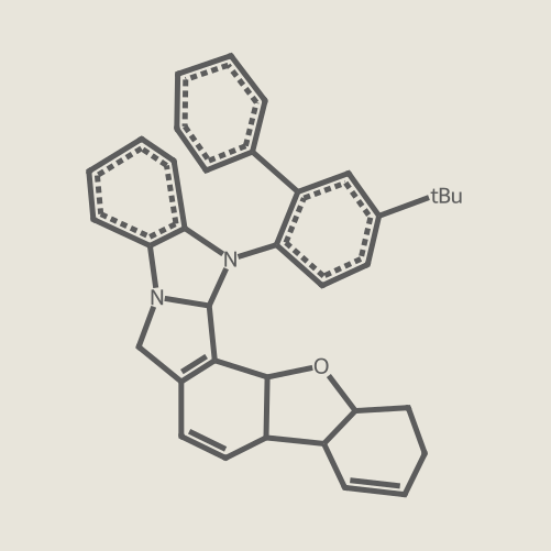 CC(C)(C)c1ccc(N2c3ccccc3N3CC4=C(C5OC6CCC=CC6C5C=C4)C32)c(-c2ccccc2)c1